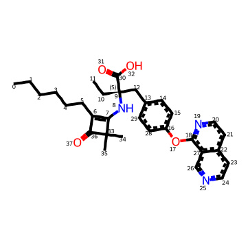 CCCCCCC1=C(N[C@@](CC)(Cc2ccc(Oc3nccc4ccncc34)cc2)C(=O)O)C(C)(C)C1=O